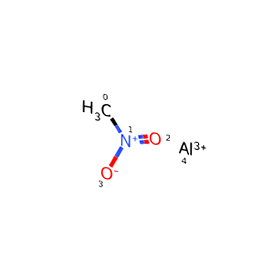 C[N+](=O)[O-].[Al+3]